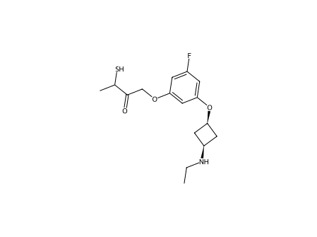 CCN[C@H]1C[C@@H](Oc2cc(F)cc(OCC(=O)C(C)S)c2)C1